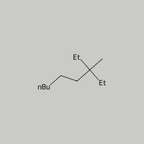 [CH2]CC(C)(CC)CCCCCC